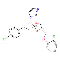 Clc1ccc(CC[C@]2(Cn3ccnc3)OC[C@H](COc3ccccc3Cl)O2)cc1